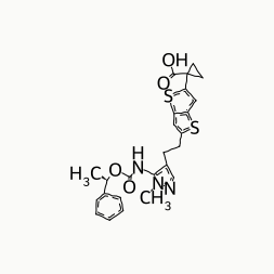 C[C@@H](OC(=O)Nc1c(CCc2cc3sc(C4(C(=O)O)CC4)cc3s2)cnn1C)c1ccccc1